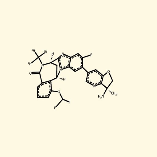 [2H]C([2H])([2H])N1C(=O)c2cccc(OC(F)F)c2[C@H]2C[C@@H]1c1nc3cc(F)c(-c4cnc5c(c4)OC[C@@]5(C)N)cc3n12